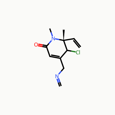 C=C[C@]1(C)C(Cl)C(CN=C)=CC(=O)N1C